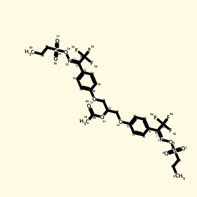 CCCS(=O)(=O)O/N=C(/c1ccc(OCC(COc2ccc(/C(=N/OS(=O)(=O)CCC)C(F)(F)F)cc2)OC(C)=O)cc1)C(F)(F)F